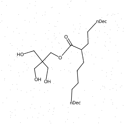 CCCCCCCCCCCCCCC(CCCCCCCCCCCC)C(=O)OCC(CO)(CO)CO